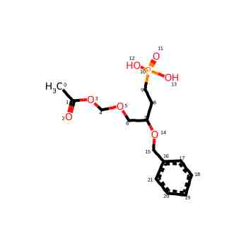 CC(=O)OCOCC(CCP(=O)(O)O)OCc1ccccc1